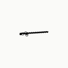 CCCCCCCCCCCCCCCCCCCCCC(=O)OCCOCC(C)(C)C